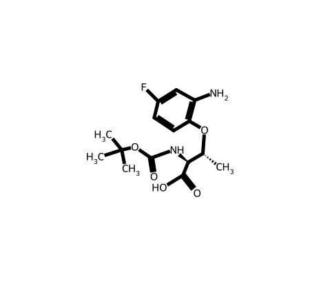 C[C@@H](Oc1ccc(F)cc1N)[C@H](NC(=O)OC(C)(C)C)C(=O)O